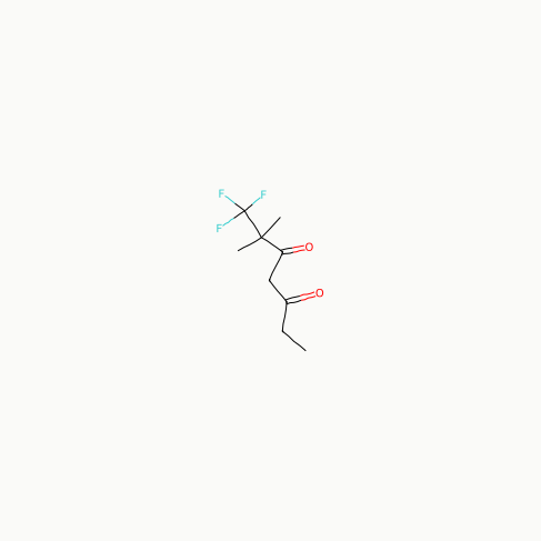 CCC(=O)CC(=O)C(C)(C)C(F)(F)F